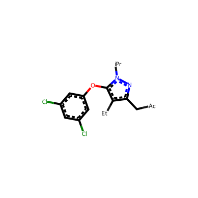 CCc1c(CC(C)=O)nn(C(C)C)c1Oc1cc(Cl)cc(Cl)c1